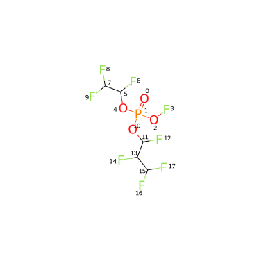 O=P(OF)(OC(F)C(F)F)OC(F)C(F)C(F)F